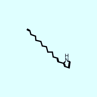 C=CCCCCCCCCC/C=C/c1ccc[nH]1